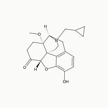 CO[C@@]12CCC(=O)[C@H]3Oc4c(O)ccc5c4[C@@]31CCN(CC1CC1)[C@@H]2C5